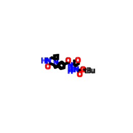 CC(C)(C)OC(=O)NC1COCC1NC(=O)c1ccc2cc3n(c2c1)C1(CCC1)CNC3=O